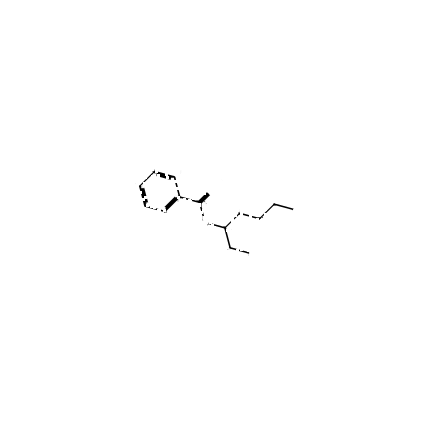 CC[CH]CC(CC)NC(=O)c1ccccc1